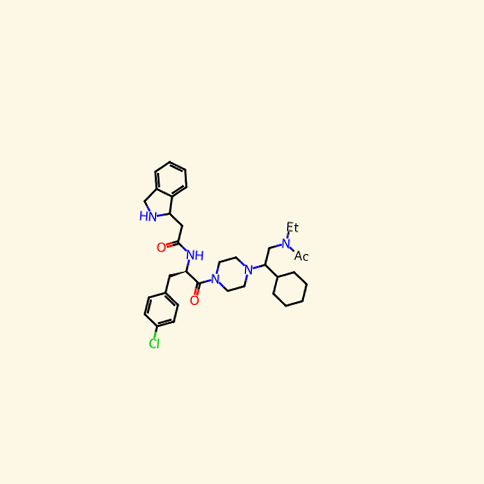 CCN(CC(C1CCCCC1)N1CCN(C(=O)[C@@H](Cc2ccc(Cl)cc2)NC(=O)CC2NCc3ccccc32)CC1)C(C)=O